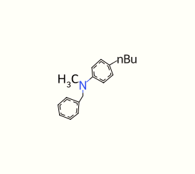 CCCCc1ccc(N(C)Cc2ccccc2)cc1